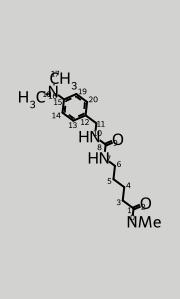 CNC(=O)CCCCNC(=O)NCc1ccc(N(C)C)cc1